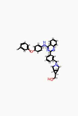 Cc1cccc(Oc2ccc(Nc3nc(-c4cccc(CN5CC6C(CO)C6C5)c4)nc4ccccc34)cc2)c1